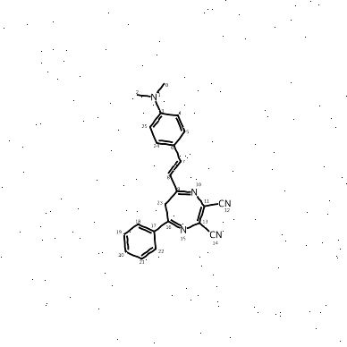 CN(C)c1ccc(C=CC2=NC(C#N)=C(C#N)N=C(c3ccccc3)C2)cc1